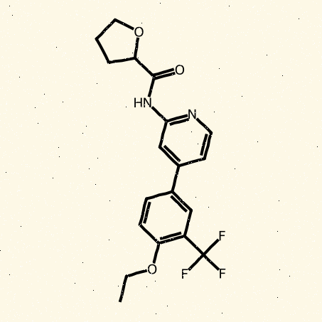 CCOc1ccc(-c2ccnc(NC(=O)C3CCCO3)c2)cc1C(F)(F)F